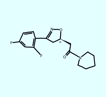 O=C(C[C@H]1CC(c2ccc(F)cc2F)=NO1)N1CCCCC1